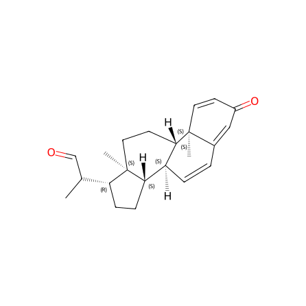 CC(C=O)[C@H]1CC[C@H]2[C@@H]3C=CC4=CC(=O)C=C[C@]4(C)[C@H]3CC[C@]12C